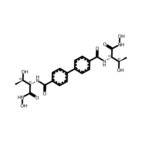 C[C@@H](O)[C@H](NC(=O)c1ccc(-c2ccc(C(=O)N[C@H](C(=O)NO)[C@@H](C)O)cc2)cc1)C(=O)NO